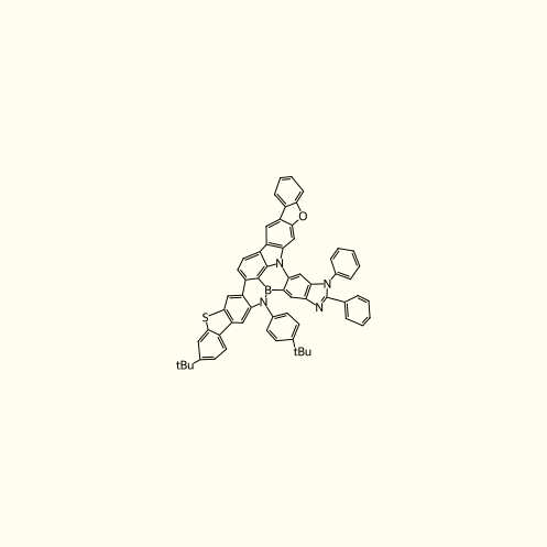 CC(C)(C)c1ccc(N2B3c4cc5nc(-c6ccccc6)n(-c6ccccc6)c5cc4-n4c5cc6oc7ccccc7c6cc5c5ccc(c3c54)-c3cc4sc5cc(C(C)(C)C)ccc5c4cc32)cc1